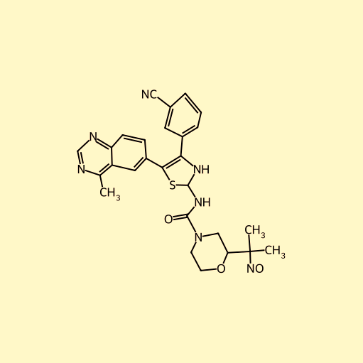 Cc1ncnc2ccc(C3=C(c4cccc(C#N)c4)NC(NC(=O)N4CCOC(C(C)(C)N=O)C4)S3)cc12